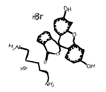 Br.Br.NCCCCCN.O=C1OC2(c3ccc(O)cc3Oc3cc(O)ccc32)c2ccccc21